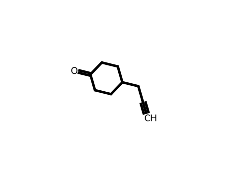 C#CCC1CCC(=O)CC1